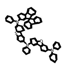 c1ccc(N(c2ccccc2)c2ccc3c(c2)oc2ccc(N(c4ccccc4)c4ccc5sc6cc(N(c7ccccc7)c7ccc8c(c7)C7(c9ccccc9-c9ccccc97)c7ccccc7-8)ccc6c5c4)cc23)cc1